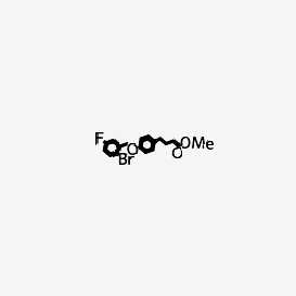 COC(=O)CCCc1ccc(OCc2cc(F)ccc2Br)cc1